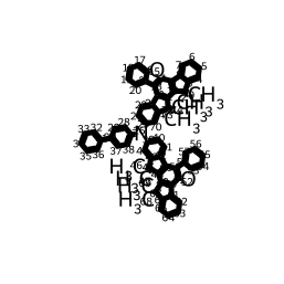 CC1(C)c2ccccc2-c2c1c1c(c3c2oc2ccccc23)-c2ccc(N(c3ccc(-c4ccccc4)cc3)c3ccc4c(c3)C(C)(C)c3c5c(c6oc7ccccc7c6c3-4)-c3ccccc3C5(C)C)cc2C1(C)C